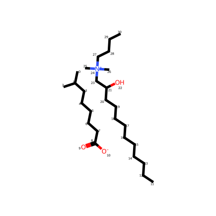 CC(C)CCCCCC(=O)[O-].CCCCCCCCCCC(O)C[N+](C)(C)CCCC